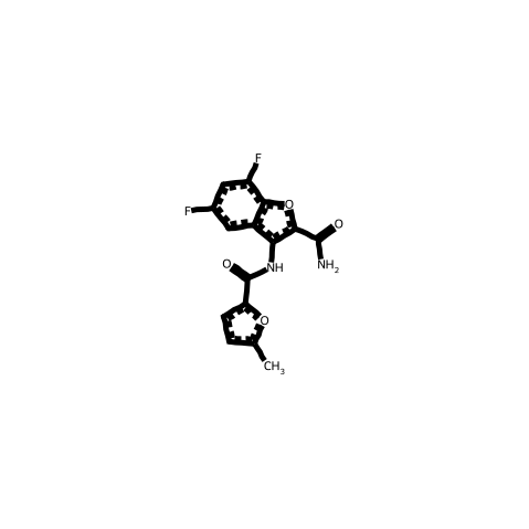 Cc1ccc(C(=O)Nc2c(C(N)=O)oc3c(F)cc(F)cc23)o1